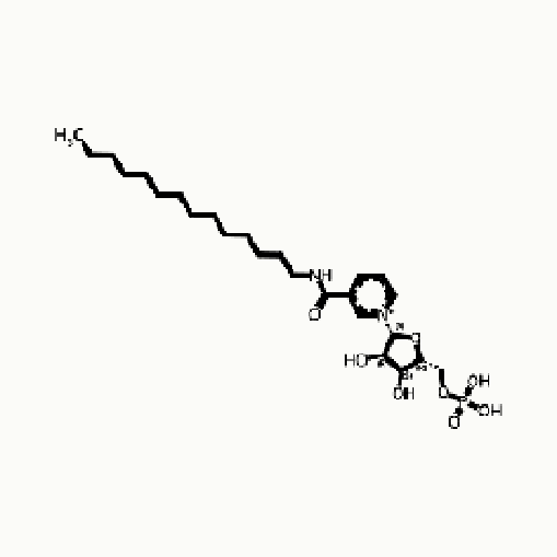 CCCCCCCCCCCCCCNC(=O)c1ccc[n+]([C@@H]2O[C@H](COP(=O)(O)O)[C@@H](O)[C@H]2O)c1